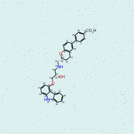 O=C(O)c1ccc(-c2ccc3c(c2)CC[C@H](CNC[C@H](O)COc2cccc4[nH]c5ccccc5c24)O3)cc1